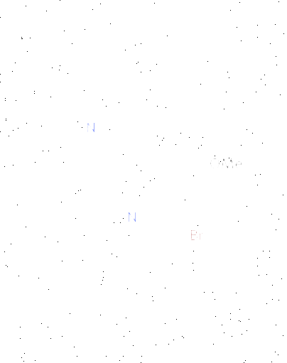 COc1cc2ncccc2nc1Br